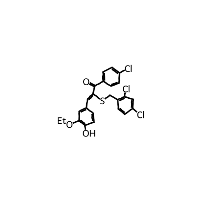 CCOc1cc(C=C(SCc2ccc(Cl)cc2Cl)C(=O)c2ccc(Cl)cc2)ccc1O